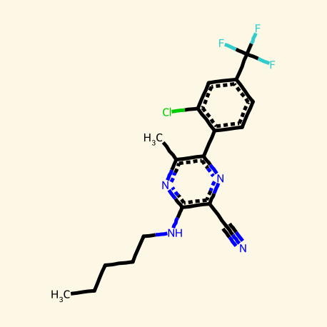 CCCCCNc1nc(C)c(-c2ccc(C(F)(F)F)cc2Cl)nc1C#N